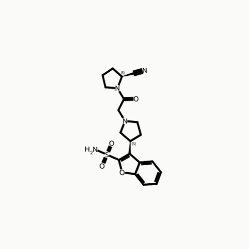 N#C[C@@H]1CCCN1C(=O)CN1CC[C@@H](c2c(S(N)(=O)=O)oc3ccccc23)C1